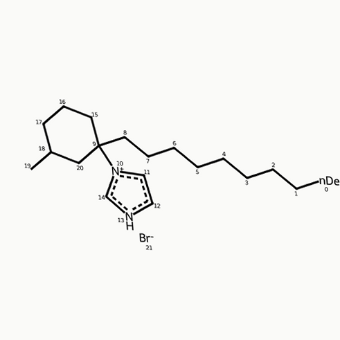 CCCCCCCCCCCCCCCCCCC1([n+]2cc[nH]c2)CCCC(C)C1.[Br-]